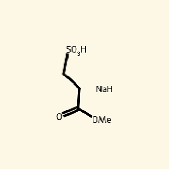 COC(=O)CCS(=O)(=O)O.[NaH]